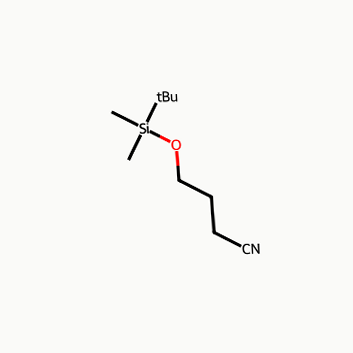 CC(C)(C)[Si](C)(C)OCCCC#N